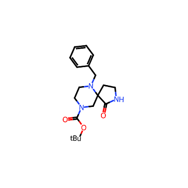 CC(C)(C)OC(=O)N1CCN(Cc2ccccc2)C2(CCNC2=O)C1